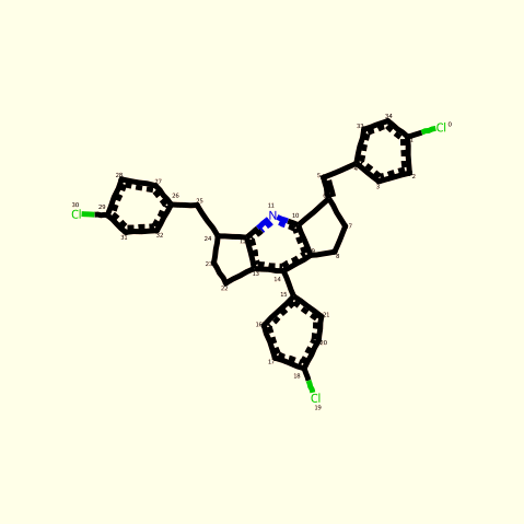 Clc1ccc(C=C2CCc3c2nc2c(c3-c3ccc(Cl)cc3)CCC2Cc2ccc(Cl)cc2)cc1